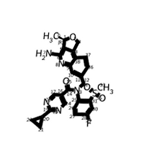 C[C@H]1OCc2c1c(N)nc1cc(CN(C(=O)c3cnc(C4CC4)nc3)c3ccc(F)cc3S(C)(=O)=O)ccc21